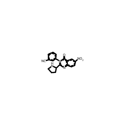 N#Cc1cccc(-n2c(C3CCCN3)nc3ccc([N+](=O)[O-])cc3c2=O)c1